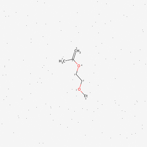 [CH2]COCCOC(=C)C